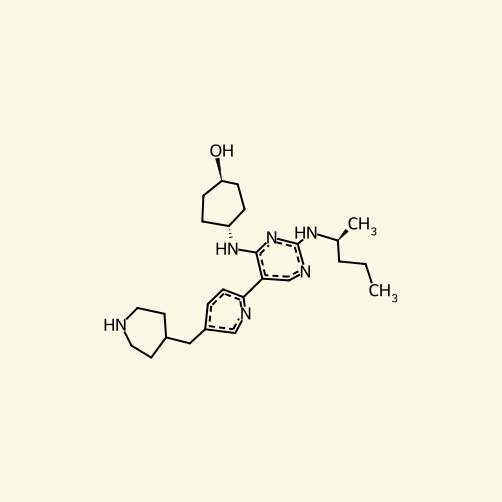 CCC[C@H](C)Nc1ncc(-c2ccc(CC3CCNCC3)cn2)c(N[C@H]2CC[C@H](O)CC2)n1